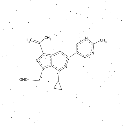 C=C(C)c1nn(CC=O)c2c(C3CC3)nc(-c3cnc(C)nc3)cc12